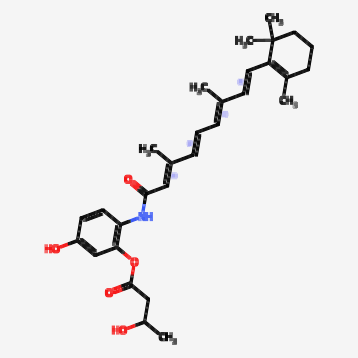 CC1=C(/C=C/C(C)=C/C=C/C(C)=C/C(=O)Nc2ccc(O)cc2OC(=O)CC(C)O)C(C)(C)CCC1